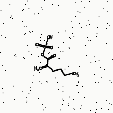 C=C(CCCC)C(=O)OS(=O)(=O)O